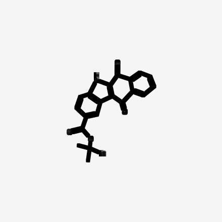 CCC(C)(C)OC(=O)c1ccc2[nH]c3c(c2c1)C(=O)c1ccccc1C3=O